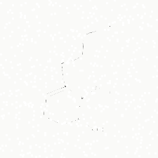 Nc1cccc(CCO[C]=O)c1N